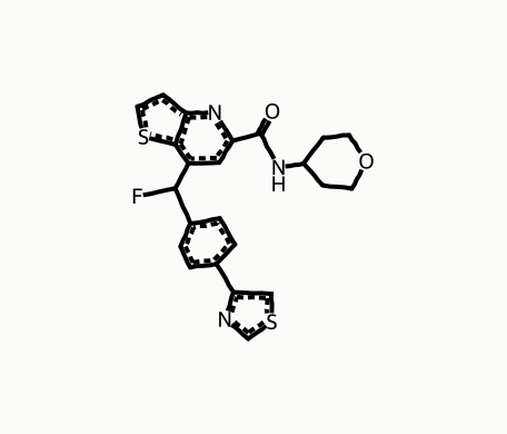 O=C(NC1CCOCC1)c1cc(C(F)c2ccc(-c3cscn3)cc2)c2sccc2n1